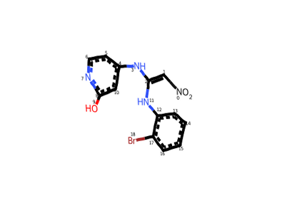 O=[N+]([O-])C=C(Nc1ccnc(O)c1)Nc1ccccc1Br